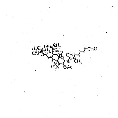 C=C(CCCCCC=O)C(O)C[C@@H]1O[C@H]2CC(O[Si](C)(C)C(C)(C)C)C(CCO[Si](C)(C)C(C)(C)C)O[C@H]2[C@H](N)[C@H]1OC(C)=O